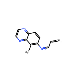 C=C/C=N\c1ccc2nccnc2c1C